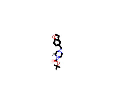 C[C@H]1CN(Cc2ccc3occc3c2)CCN1C(=O)OC(C)(C)C